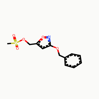 CS(=O)(=O)OCc1cc(OCc2ccccc2)no1